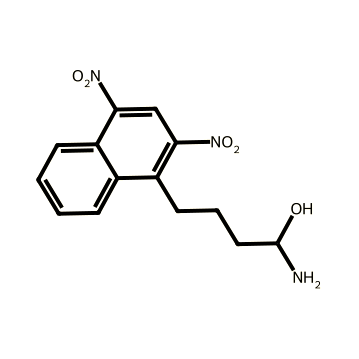 NC(O)CCCc1c([N+](=O)[O-])cc([N+](=O)[O-])c2ccccc12